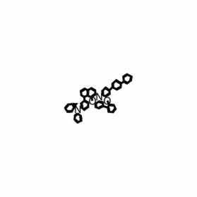 C1=CC2CC2(N(c2ccccc2)c2ccc3c(c2)C2CC=Cc4ccc(N(c5ccc(-c6ccc(-c7ccccc7)cc6)cc5)c5cccc6c5oc5ccccc56)c(c42)O3)C=C1